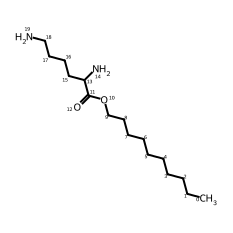 CCCCCCCCCCOC(=O)C(N)CCCCN